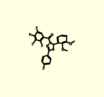 COc1cccc(C2SC(c3ccc(F)cc3)=NN2C(=O)c2cc(F)c(F)c(F)c2F)c1OC